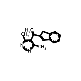 C=C(C1=Cc2ccccc2C1)c1c(C)ncnc1C